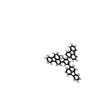 Clc1c(-c2ccc3c4c(cccc24)-c2ccccc2-3)cc(-c2ccc3c4c(cccc24)-c2ccccc2-3)cc1-c1ccc2c3c(cccc13)-c1ccccc1-2